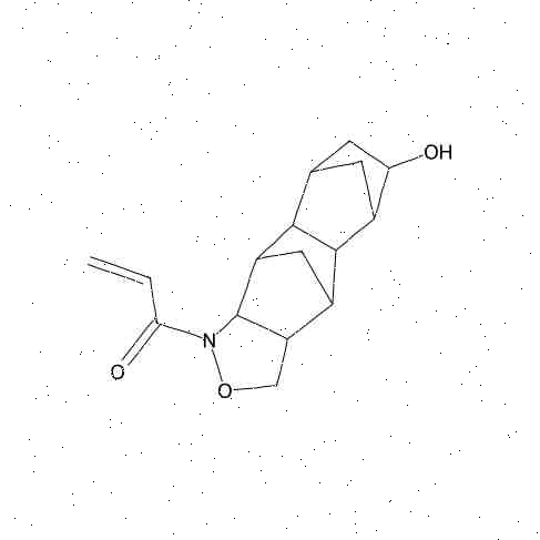 C=CC(=O)N1OCC2C3CC(C4C5CC(O)C(C5)C34)C21